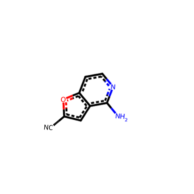 N#Cc1cc2c(N)nccc2o1